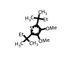 CCC(C)(C)c1sc(C(C)(C)CC)c(OC)c1OC